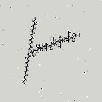 CCCCCCCCCCCCCCN(CCCCCCCCCCCCCC)C(=O)CCC(=O)NCCNC(=S)NCCNC(=S)NCCNC(=O)O